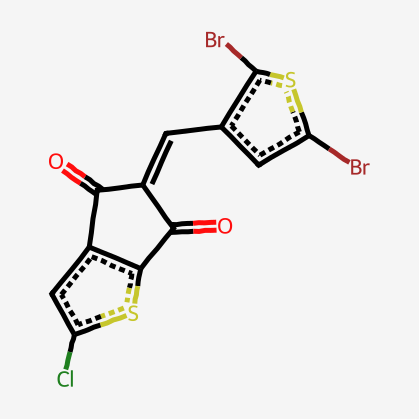 O=C1/C(=C/c2cc(Br)sc2Br)C(=O)c2sc(Cl)cc21